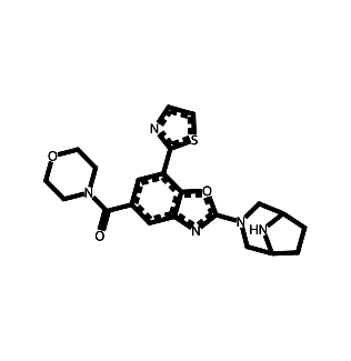 O=C(c1cc(-c2nccs2)c2oc(N3CC4CCC(C3)N4)nc2c1)N1CCOCC1